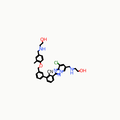 Cc1cc(CNCCO)ccc1OCc1cccc(-c2cccc(-c3nc4c(Cl)cc(CNCCO)cn4n3)c2C#N)c1